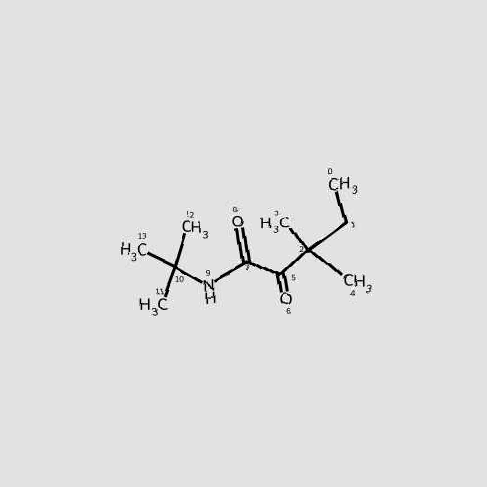 CCC(C)(C)C(=O)C(=O)NC(C)(C)C